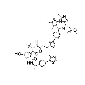 COC(=O)C[C@@H]1N=C(c2ccc(-c3ccc(CCC(=O)N[C@H](C(=O)N4C[C@H](O)C[C@H]4C(=O)N[C@@H](C)c4ccc(-c5scnc5C)cc4)C(C)(C)C)s3)cc2)c2c(sc(C)c2C)-n2c(C)nnc21